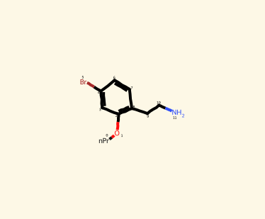 CCCOc1cc(Br)ccc1CCN